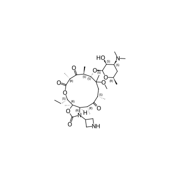 CC[C@@H]1OC(=O)[C@H](C)C(=O)[C@@H](C)[C@H](O[C@@H]2O[C@H](C)C[C@H](N(C)C)[C@@H]2O)C(C)(OC)C[C@H](C)C(=O)[C@H](C)[C@H]2N(C3CNC3)C(=O)O[C@@]12C